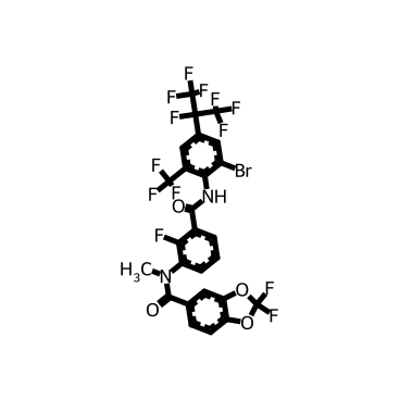 CN(C(=O)c1ccc2c(c1)OC(F)(F)O2)c1cccc(C(=O)Nc2c(Br)cc(C(F)(C(F)(F)F)C(F)(F)F)cc2C(F)(F)F)c1F